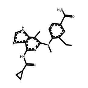 CCc1cc(C(N)=O)ccc1N(C)c1nc(NC(=O)C2CC2)c2nc[nH]c2c1C